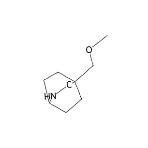 COCC12CCC(CC1)NC2